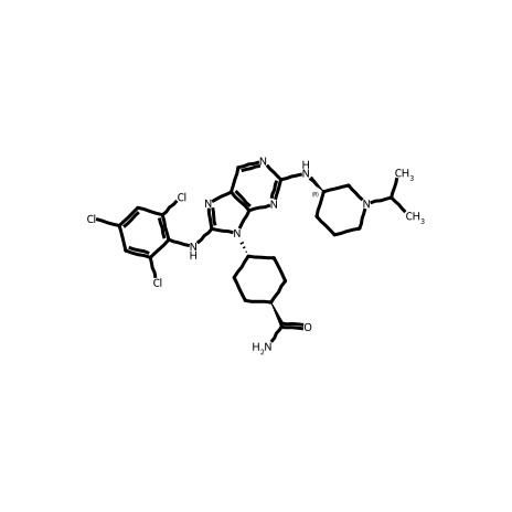 CC(C)N1CCC[C@@H](Nc2ncc3nc(Nc4c(Cl)cc(Cl)cc4Cl)n([C@H]4CC[C@H](C(N)=O)CC4)c3n2)C1